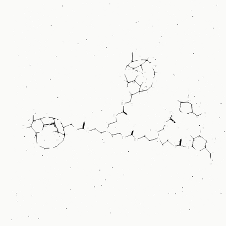 OCC1O[C@@H]2OCCCCC3C(CNC(=S)NCCN(CCNC(=S)NCCN(CCNC(=S)N[C@H]4OC(CO)[C@@H](O)[C@H](O)C4O)CCNC(=S)N[C@H]4OC(CO)[C@@H](O)[C@H](O)C4O)CCNC(=S)NCC4O[C@@H]5OC6C(CO)O[C@H](OCCCCC4[C@H](O)C5O)C(O)[C@H]6O)O[C@H](OC1[C@H](O)C2O)C(O)[C@H]3O